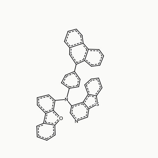 c1ccc2c(c1)cc(-c1ccc(N(c3cccc4c3oc3ccccc34)c3cncc4sc5ccccc5c34)cc1)c1ccccc12